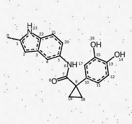 Cc1cc2cc(NC(=O)C3(c4ccc(O)c(O)c4)CC3)ccc2[nH]1